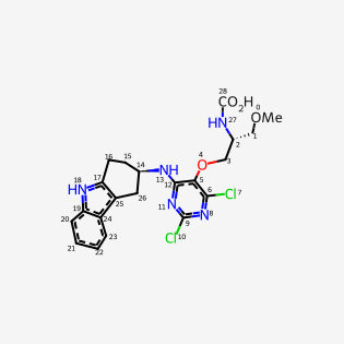 COC[C@H](COc1c(Cl)nc(Cl)nc1N[C@@H]1CCc2[nH]c3ccccc3c2C1)NC(=O)O